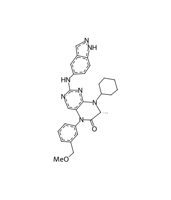 COCc1cccc(N2C(=O)[C@@H](C)N(C3CCCCC3)c3nc(Nc4ccc5[nH]ncc5c4)ncc32)c1